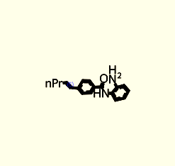 CCC/C=C/c1ccc(C(=O)Nc2ccccc2N)cc1